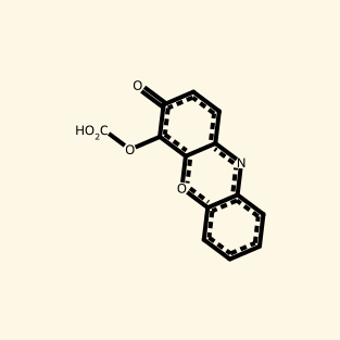 O=C(O)Oc1c2oc3ccccc3nc-2ccc1=O